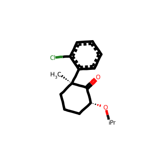 CC(C)O[C@@H]1CCC[C@@](C)(c2ccccc2Cl)C1=O